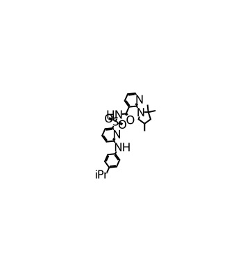 CC1CN(c2ncccc2C(=O)NS(=O)(=O)c2cccc(Nc3ccc(C(C)C)cc3)n2)C(C)(C)C1